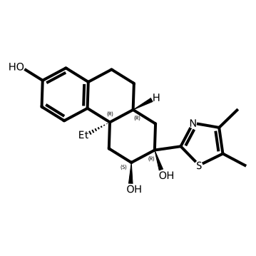 CC[C@@]12C[C@H](O)[C@@](O)(c3nc(C)c(C)s3)C[C@H]1CCc1cc(O)ccc12